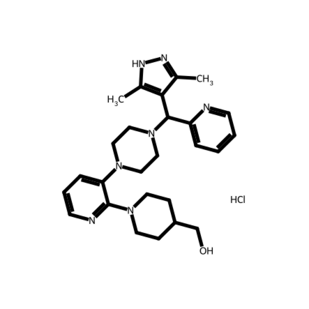 Cc1n[nH]c(C)c1C(c1ccccn1)N1CCN(c2cccnc2N2CCC(CO)CC2)CC1.Cl